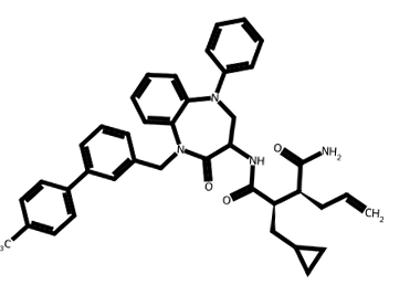 C=CC[C@H](C(N)=O)[C@@H](CC1CC1)C(=O)NC1CN(c2ccccc2)c2ccccc2N(Cc2cccc(-c3ccc(C)cc3)c2)C1=O